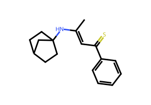 CC(=CC(=S)c1ccccc1)NC12CCC(CC1)C2